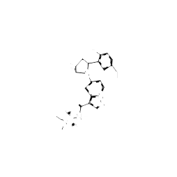 CN(C)S(=O)(=O)NC(=O)c1cnn2ccc(N3C[C@@H](F)CC3c3cc(F)ccc3F)cc12